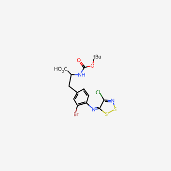 CC(C)(C)OC(=O)NC(Cc1ccc(/N=c2/ssnc2Cl)c(Br)c1)C(=O)O